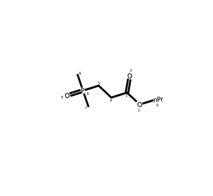 CCCOC(=O)CCP(C)(C)=O